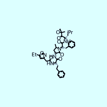 CCc1cc(CC(=O)N[C@@H](CCc2ccccc2)C(=O)N[C@H]2CC(C)N([C@@H](Cc3ccccc3)C(=O)N[C@@H](CC(C)C)C(=O)C3(C)CO3)C2=O)no1